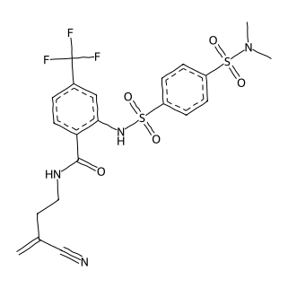 C=C(C#N)CCNC(=O)c1ccc(C(F)(F)F)cc1NS(=O)(=O)c1ccc(S(=O)(=O)N(C)C)cc1